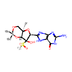 CC(C)(C)[Si]1(C(C)(C)C)OC[C@H]2O[C@@H](c3nc4nc(N)[nH]c(=O)c4[nH]3)[C@](O)(S(=O)(=O)C(F)(F)F)[C@@H]2O1